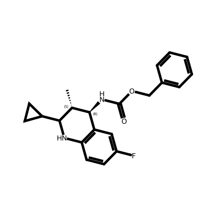 C[C@H]1C(C2CC2)Nc2ccc(F)cc2[C@@H]1NC(=O)OCc1ccccc1